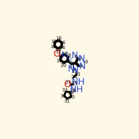 Nc1ncnc2c1c(-c1ccc(Oc3ccccc3)cc1)nn2CCNC(=O)NC1CCCC1